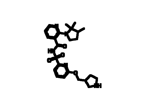 CC1CCN(c2ncccc2C(=O)NS(=O)(=O)c2cccc(OCC3CCNC3)n2)C1(C)C